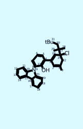 CC1=CC(c2cccc(-n3c4ccccc4c4ccccc43)c2O)=CC(Cl)(C(C)(C)CC(C)(C)C)C1